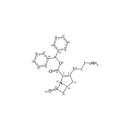 NCCSC1=C(C(=O)OC(c2ccccc2)c2ccccc2)N2C(=O)CC2C1